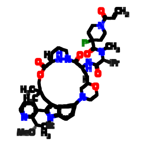 C=CC(=O)N1CCC(F)(C(=O)N(C)[C@H](C(=O)N[C@H]2C[C@H]3CN(CCO3)c3ccc4c(c3)c(c(-c3cccnc3[C@H](C)OC)n4CC)CC(C)(C)COC(=O)[C@@H]3CCCN(N3)C2=O)C(C)C)CC1